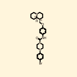 O=C(Nc1ccc(OC[C@@H]2CCCN3CCCC[C@H]23)cc1)N1CCN(c2ccc(Br)cc2)CC1